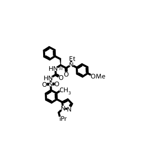 CCN(C(=O)[C@H](Cc1ccccc1)NC(=O)NS(=O)(=O)c1cccc(-c2ccnn2CC(C)C)c1C)c1ccc(OC)cc1